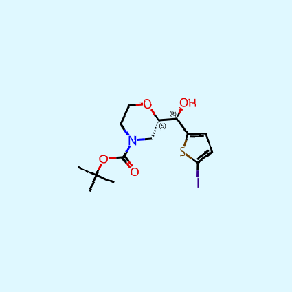 CC(C)(C)OC(=O)N1CCO[C@H]([C@@H](O)c2ccc(I)s2)C1